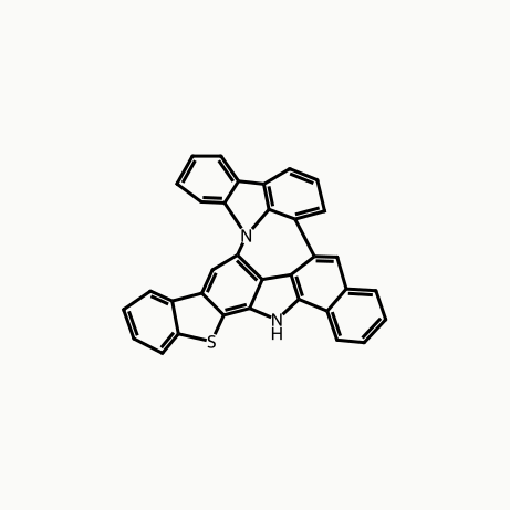 c1ccc2c(c1)cc1c3cccc4c5ccccc5n(c5cc6c7ccccc7sc6c6[nH]c2c1c65)c34